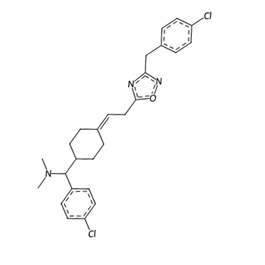 CN(C)C(c1ccc(Cl)cc1)C1CCC(=CCc2nc(Cc3ccc(Cl)cc3)no2)CC1